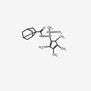 CC1=C(C)C(C)[C]([Hf]([NH]C(=O)C23CC4CC(CC2C4)C3)[SiH](C)C)=C1C